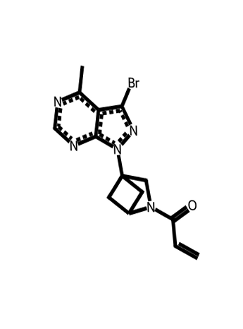 C=CC(=O)N1CC2(n3nc(Br)c4c(C)ncnc43)CC1C2